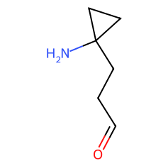 NC1(CCC=O)CC1